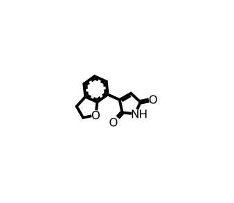 O=C1C=C(c2cccc3c2OCC3)C(=O)N1